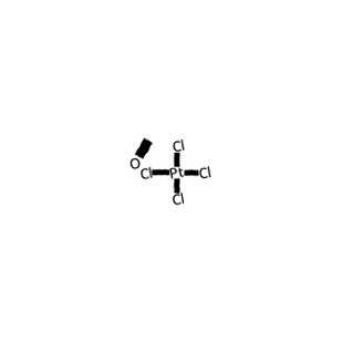 C=O.[Cl][Pt]([Cl])([Cl])[Cl]